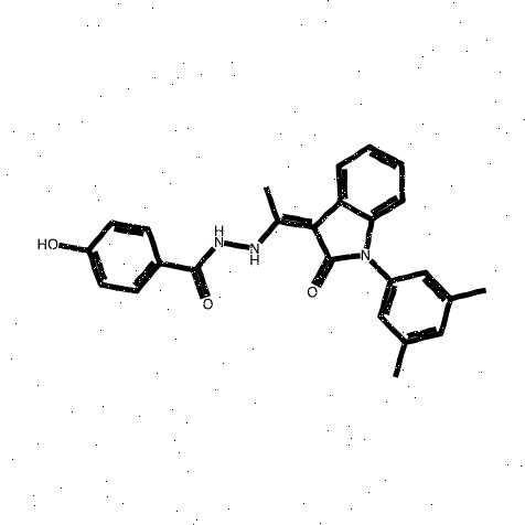 C/C(NNC(=O)c1ccc(O)cc1)=C1/C(=O)N(c2cc(C)cc(C)c2)c2ccccc21